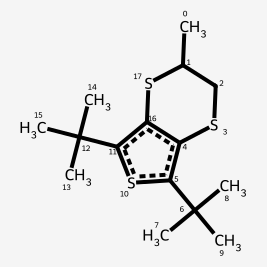 CC1CSc2c(C(C)(C)C)sc(C(C)(C)C)c2S1